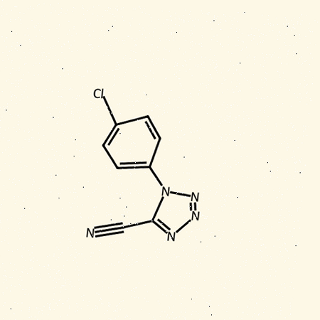 N#Cc1nnnn1-c1ccc(Cl)cc1